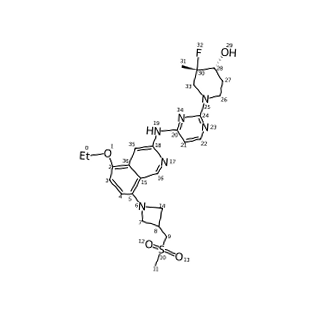 CCOc1ccc(N2CC(CS(C)(=O)=O)C2)c2cnc(Nc3ccnc(N4CC[C@@H](O)[C@@](C)(F)C4)n3)cc12